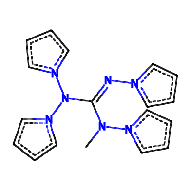 CN(C(=Nn1cccc1)N(n1cccc1)n1cccc1)n1cccc1